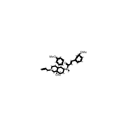 C=CCN1CC[C@@]2(c3cccc(OC)c3)C[C@@H](N(C)C(=O)C=Cc3cccc(OC)c3)CC[C@]2(OC(C)=O)C1